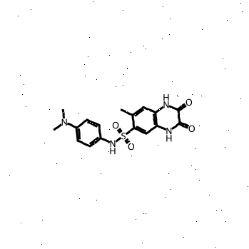 Cc1cc2[nH]c(=O)c(=O)[nH]c2cc1S(=O)(=O)Nc1ccc(N(C)C)cc1